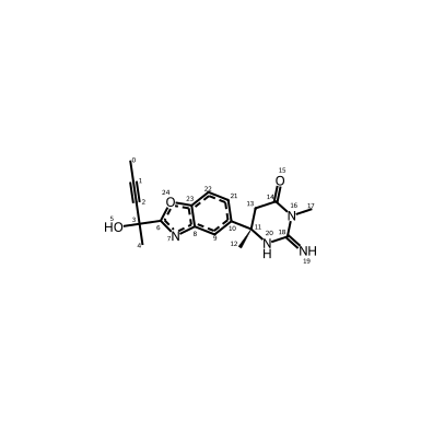 CC#CC(C)(O)c1nc2cc([C@]3(C)CC(=O)N(C)C(=N)N3)ccc2o1